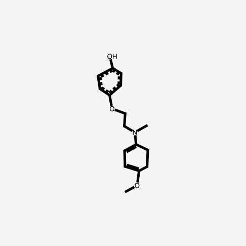 COC1=CC=C(N(C)CCOc2ccc(O)cc2)CC1